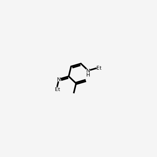 C=C(C)C(/C=C\NCC)=N\CC